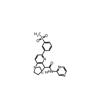 CS(=O)(=O)c1cccc(-c2ccc3c(n2)C(C(=O)Nc2cnccn2)[C@H]2CCN3C2)c1